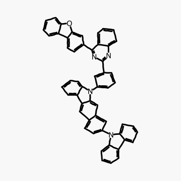 c1cc(-c2nc(-c3ccc4c(c3)oc3ccccc34)c3ccccc3n2)cc(-n2c3ccccc3c3cc4ccc(-n5c6ccccc6c6ccccc65)cc4cc32)c1